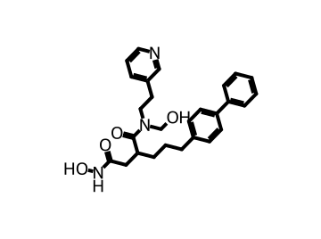 O=C(CC(CCCc1ccc(-c2ccccc2)cc1)C(=O)N(CO)CCc1cccnc1)NO